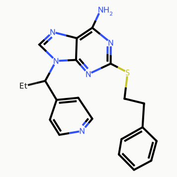 CCC(c1ccncc1)n1cnc2c(N)nc(SCCc3ccccc3)nc21